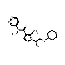 Cc1c(C(=O)N(C)c2ccnnc2)cnn1C(C)CSC1CCCCC1